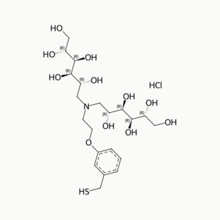 Cl.OC[C@@H](O)[C@@H](O)[C@H](O)[C@H](O)CN(CCOc1cccc(CS)c1)C[C@@H](O)[C@@H](O)[C@H](O)[C@H](O)CO